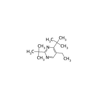 CCc1cnc(C(C)(C)C)nc1C(C)(C)C